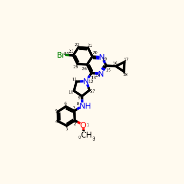 COc1ccccc1NC1CCN(c2nc(C3CC3)nc3ccc(Br)cc23)C1